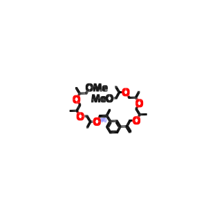 C=C(COC(C)COC(C)COC(C)COC)c1cccc(/C(C)=C\OC(C)COC(C)COC(C)COC)c1